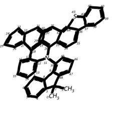 CC1(C)c2ccccc2-c2c(N(c3ccccc3-c3cccc4ccccc34)c3cccc4c3ccc3c5ccccc5sc43)cccc21